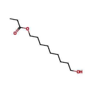 CCC(=O)OCCCCCCCCCO